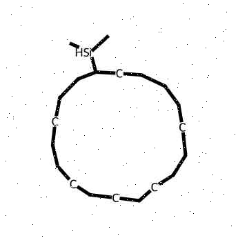 C[SiH](C)C1CCCCCCCCCCCCCCCCC1